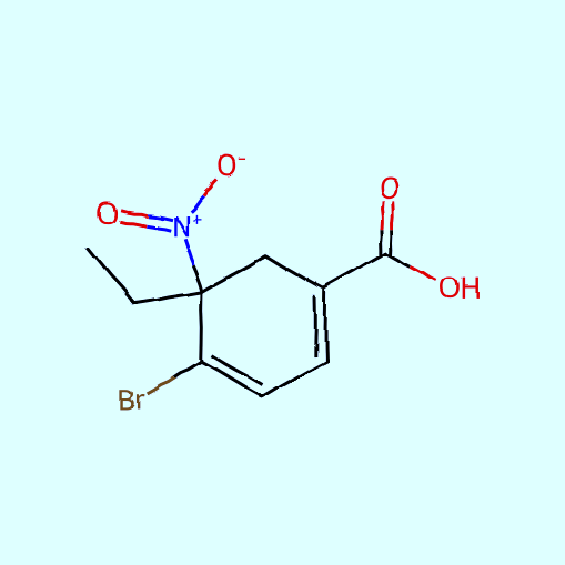 CCC1([N+](=O)[O-])CC(C(=O)O)=CC=C1Br